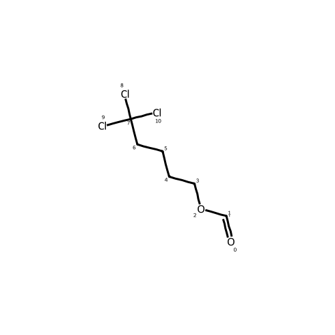 O=[C]OCCCCC(Cl)(Cl)Cl